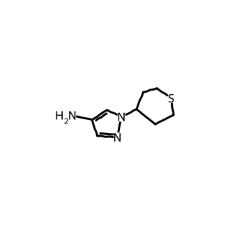 Nc1cnn(C2CCSCC2)c1